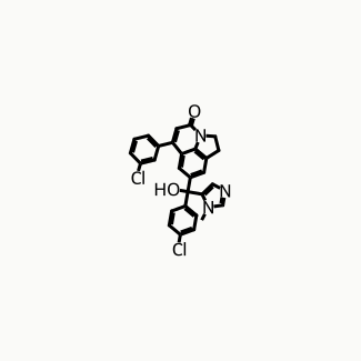 Cn1cncc1C(O)(c1ccc(Cl)cc1)c1cc2c3c(c1)c(-c1cccc(Cl)c1)cc(=O)n3CC2